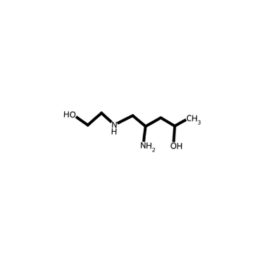 CC(O)CC(N)CNCCO